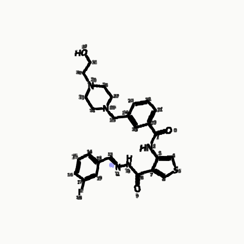 O=C(Nc1cscc1C(=O)N/N=C/c1cccc(F)c1)c1cccc(CN2CCN(CCO)CC2)c1